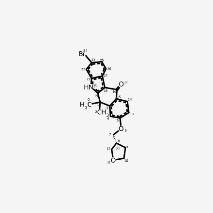 CC1(C)c2cc(OC[C@@H]3CCOC3)ccc2C(=O)c2c1[nH]c1cc(Br)ccc21